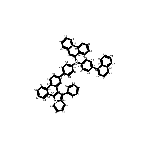 c1ccc(-c2c3c4cc(-c5ccc(N(c6ccc(-c7cccc8ccccc78)cc6)c6cc7ccccc7c7ccccc67)cc5)ccc4c4ccccc4c3n3ccccc23)cc1